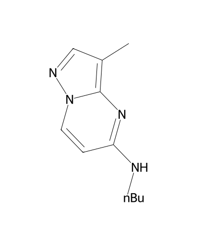 CCCCNc1ccn2ncc(C)c2n1